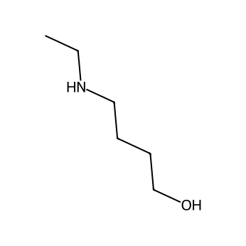 CCNCCCCO